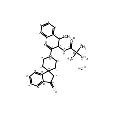 CC(c1ccccc1)C(NC(=O)C(C)(C)N)C(=O)N1CCC2(CC1)CC(=O)c1ccccc12.Cl